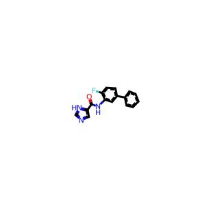 O=C(Nc1cc(-c2ccccc2)ccc1F)c1cnc[nH]1